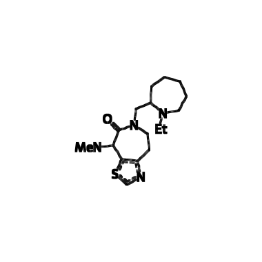 CCN1CCCCCC1CN1CCc2ncsc2C(NC)C1=O